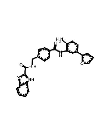 Nc1ccc(-c2ccco2)cc1NC(=O)c1ccc(CNC(=O)c2nc3ccccc3[nH]2)cc1